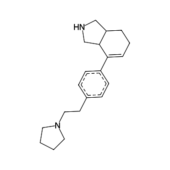 C1=C(c2ccc(CCN3CCCC3)cc2)C2CNCC2CC1